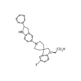 O=C(O)C[C@@H]1CC2(CCN(c3ccc4c(c3)CC(c3ccccc3)N4)CC2)c2cc(F)ccc21